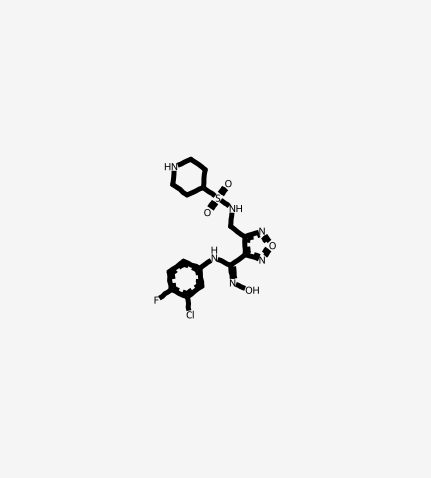 O=S(=O)(NCc1nonc1C(=NO)Nc1ccc(F)c(Cl)c1)C1CCNCC1